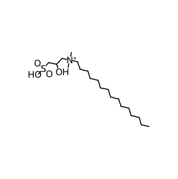 CCCCCCCCCCCCCCC[N+](C)(C)CC(O)CS(=O)(=O)O